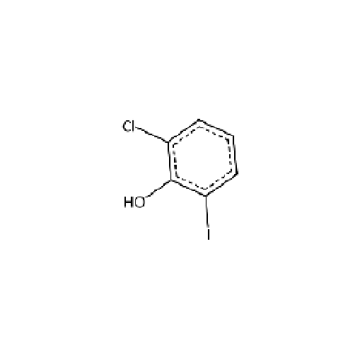 Oc1c(Cl)cccc1I